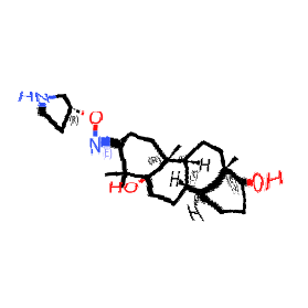 CC1(C)/C(=N/O[C@@H]2CCNC2)CC[C@]2(C)[C@@H]3CC[C@]4(C)C(O)CC[C@H]4[C@@H]3CCC12O